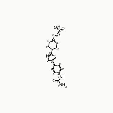 NC(=O)Nc1ccc(-c2cnc(C3CCN(CO[SH](=O)=O)CC3)s2)cc1